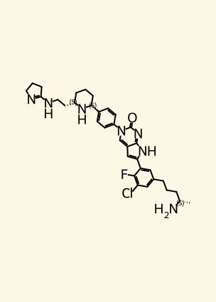 C[C@H](N)CCCc1cc(Cl)c(F)c(-c2cc3cn(-c4ccc([C@@H]5CCC[C@@H](CCNC6=NCCC6)N5)cc4)c(=O)nc3[nH]2)c1